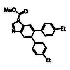 CCc1ccc(-c2cc3ncn(C(=O)OC)c3cc2-c2ccc(CC)cc2)cc1